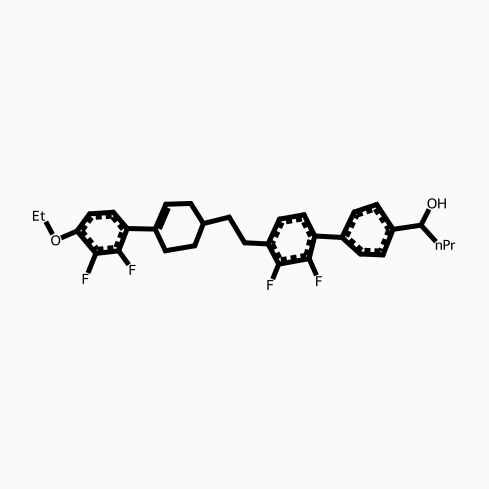 CCCC(O)c1ccc(-c2ccc(CCC3CC=C(c4ccc(OCC)c(F)c4F)CC3)c(F)c2F)cc1